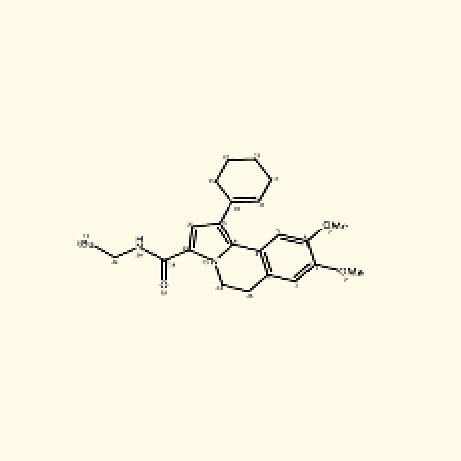 COc1cc2c(cc1OC)-c1c(C3=CCCCC3)cc(C(=O)NCC(C)(C)C)n1CC2